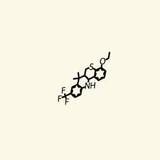 CCOc1cccc2c1SCC1C2Nc2ccc(C(F)(F)F)cc2C1(C)C